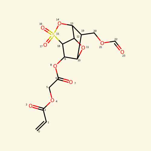 C=CC(=O)OCC(=O)OC1C2OC3C(OS(=O)(=O)C13)C2COC=O